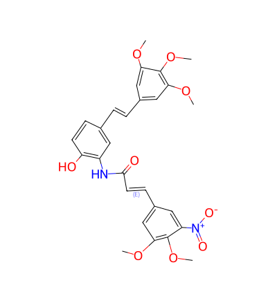 COc1cc(C=Cc2ccc(O)c(NC(=O)/C=C/c3cc(OC)c(OC)c([N+](=O)[O-])c3)c2)cc(OC)c1OC